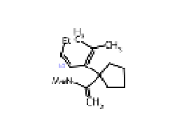 C=C(NC)C1(C(/C=C\CC)=C(C)C)CCCC1